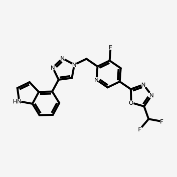 Fc1cc(-c2nnc(C(F)F)o2)cnc1Cn1cc(-c2cccc3[nH]ccc23)nn1